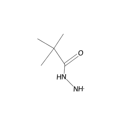 CC(C)(C)C(=O)N[NH]